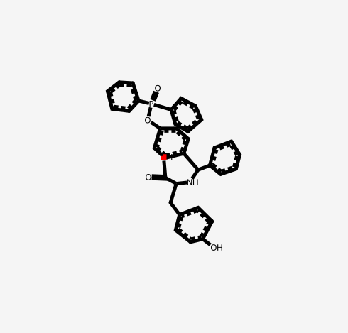 O=C(O)C(Cc1ccc(O)cc1)NC(c1ccccc1)c1ccc(OP(=O)(c2ccccc2)c2ccccc2)cc1